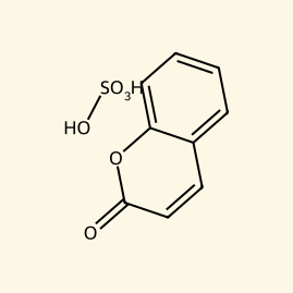 O=S(=O)(O)O.O=c1ccc2ccccc2o1